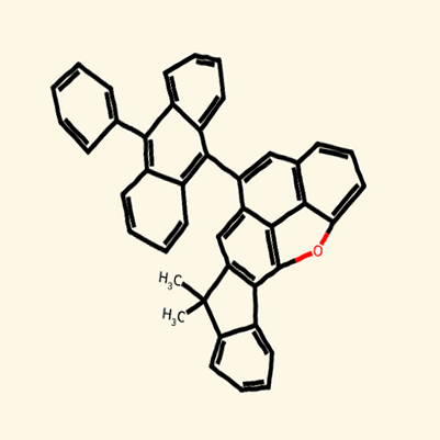 CC1(C)c2ccccc2-c2c1cc1c(-c3c4ccccc4c(-c4ccccc4)c4ccccc34)cc3cccc4oc2c1c34